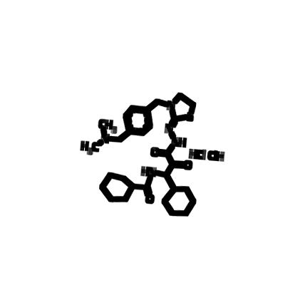 CN(C)Cc1ccc(CN2CCSC2=NNC(=O)C(=O)C(NC(=O)C2CCCCC2)C2CCCCC2)cc1.Cl.Cl